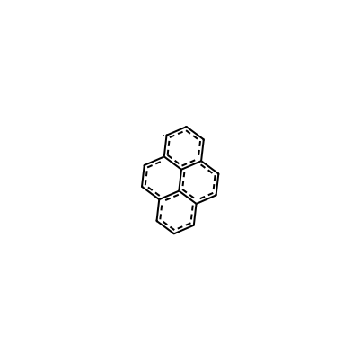 [c]1ccc2ccc3cc[c]c4ccc1c2c43